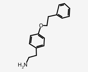 NCCc1ccc(OCCc2ccccc2)cc1